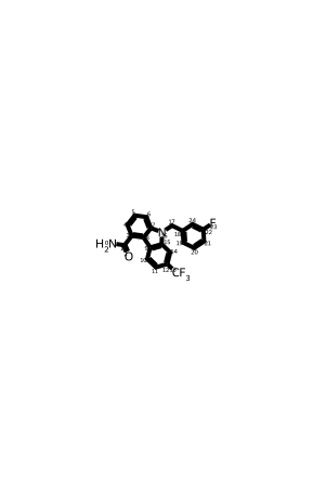 NC(=O)c1cccc2c1c1[c]cc(C(F)(F)F)cc1n2Cc1cccc(F)c1